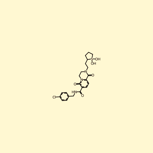 O=C(NCc1ccc(Cl)cc1)c1ccc2n(c1=O)CCN(CCC1CCCS1(O)O)C2=O